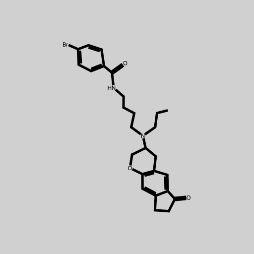 CCCN(CCCCNC(=O)c1ccc(Br)cc1)C1COc2cc3c(cc2C1)C(=O)CC3